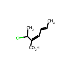 CC=CC=C(C(=O)O)C(C)Cl